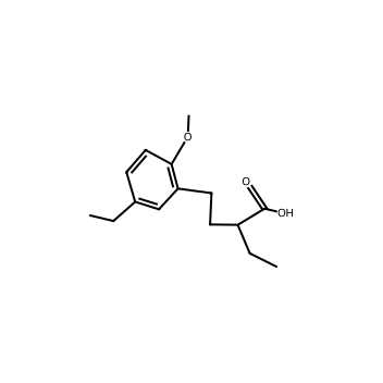 CCc1ccc(OC)c(CCC(CC)C(=O)O)c1